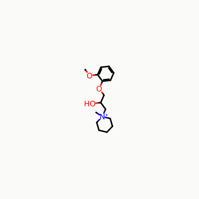 COc1ccccc1OCC(O)C[N+]1(C)CCCCC1